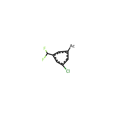 CC(=O)c1cc(Cl)cc(C(F)F)c1